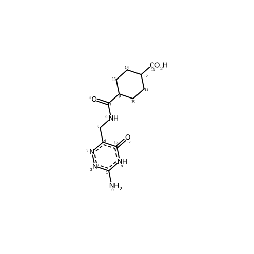 Nc1nnc(CNC(=O)C2CCC(C(=O)O)CC2)c(=O)[nH]1